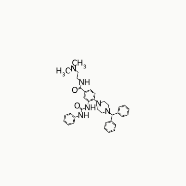 CN(C)CCNC(=O)c1ccc(N2CCN(C(c3ccccc3)c3ccccc3)CC2)c(NC(=O)Nc2ccccc2)c1